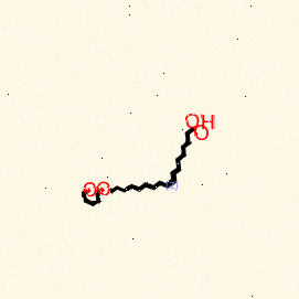 O=C(O)CCCCCCC/C=C\CCCCCCCCOC1CCCCO1